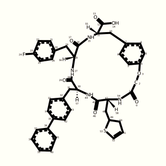 O=C1COc2ccc(cc2)C[C@@H](C(=O)O)NC(=O)[C@@H](Cc2ccc(F)cc2)NC(=O)[C@H](Cc2ccc(-c3ccccc3)cc2)NC(=O)[C@@H](CC2CC=CS2)N1